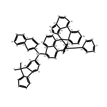 CC1(C)c2ccccc2-c2ccc(N(c3ccc4ccccc4c3)c3ccc4c5c(cccc35)C3(c5ccccc5-c5cccc6cccc3c56)c3cc(-c5ccccc5)ccc3-4)cc21